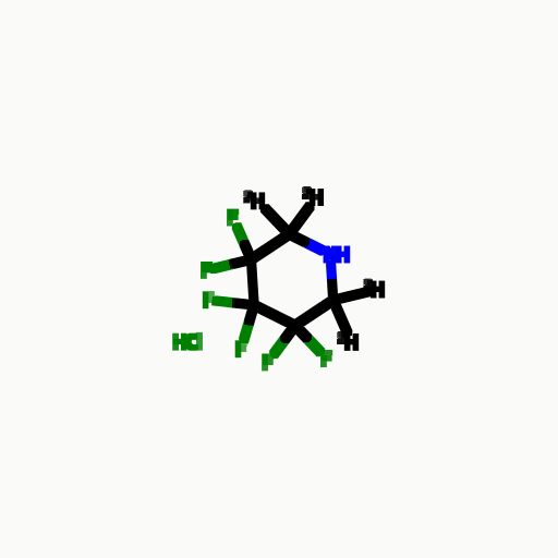 Cl.[2H]C1([2H])NC([2H])([2H])C(F)(F)C(F)(F)C1(F)F